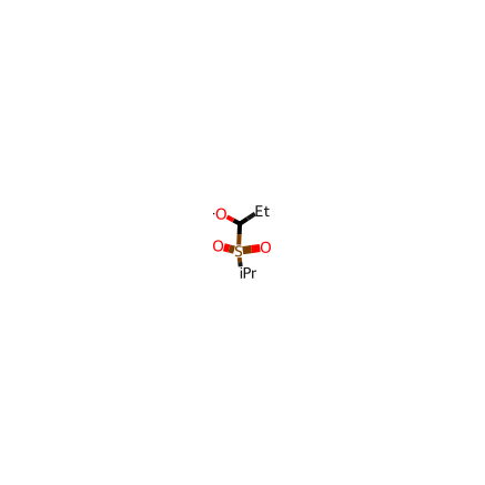 CCC([O])S(=O)(=O)C(C)C